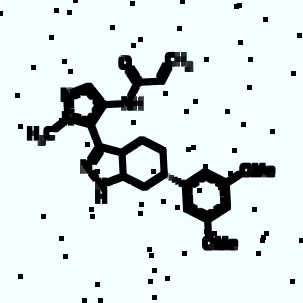 C=CC(=O)Nc1cnn(C)c1C1=NNC2C[C@@H](c3cc(OC)cc(OC)c3)CCC12